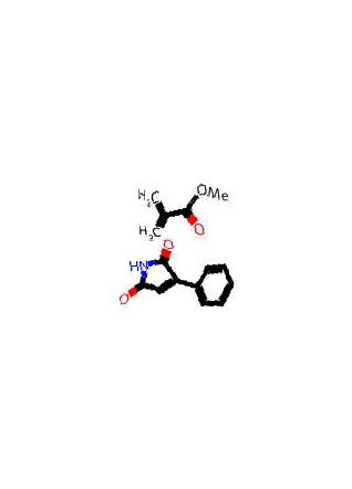 C=C(C)C(=O)OC.O=C1C=C(c2ccccc2)C(=O)N1